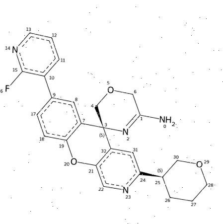 NC1=N[C@@]2(COC1)c1cc(-c3cccnc3F)ccc1Oc1cnc([C@@H]3CCCOC3)cc12